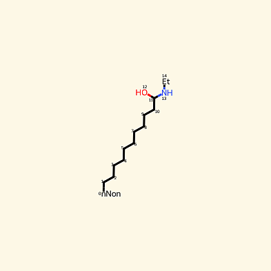 CCCCCCCCCCCCCCCCCCCC(O)NCC